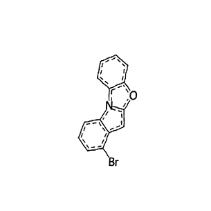 Brc1cccc2c1cc1oc3ccccc3n12